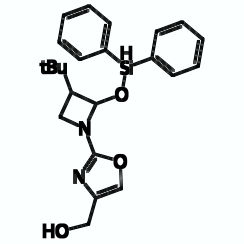 CC(C)(C)C1CN(c2nc(CO)co2)C1O[SiH](c1ccccc1)c1ccccc1